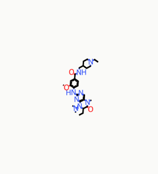 CCC1C(=O)N(C)c2cnc(Nc3ccc(C(=O)NCC4CCN(CC)CC4)cc3OC)nc2N1N(C)C